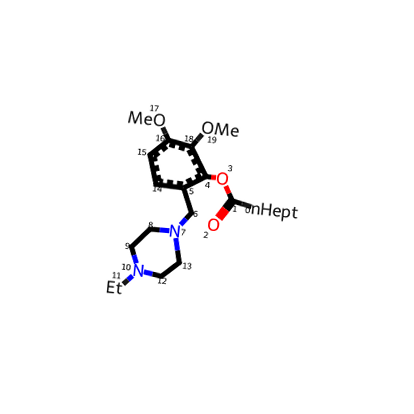 CCCCCCCC(=O)Oc1c(CN2CCN(CC)CC2)ccc(OC)c1OC